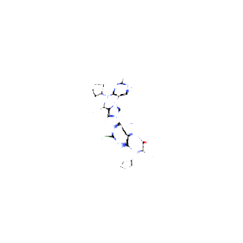 CCC1C(=O)Nc2cnc(Cl)nc2N1C1CCCC1.CCC1c2c(C(=O)O)ncn2-c2cnc(Cl)nc2N1C1CCCC1